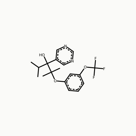 CC(C)C(O)(c1cncnc1)C(C)(C)Oc1cccc(OC(F)(F)F)c1